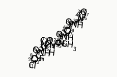 Cn1cc(NC(=O)c2ccc(Cl)cc2F)cc1C(=O)Nc1cc(C(=O)Nc2ccc(C(=O)NCCN3CCOCC3)cc2)n(C)c1